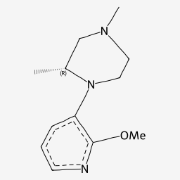 COc1ncccc1N1CCN(C)C[C@H]1C